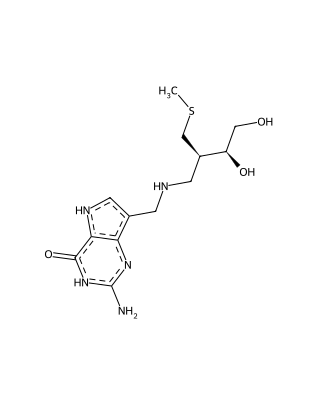 CSC[C@H](CNCc1c[nH]c2c(=O)[nH]c(N)nc12)[C@H](O)CO